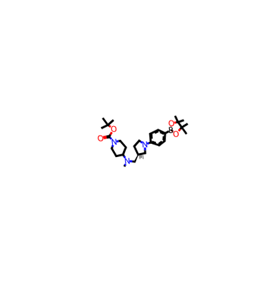 CN(C[C@H]1CCN(c2ccc(B3OC(C)(C)C(C)(C)O3)cc2)C1)C1CCN(C(=O)OC(C)(C)C)CC1